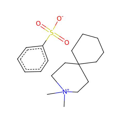 C[N+]1(C)CCC2(CCCCC2)CC1.O=S(=O)([O-])c1ccccc1